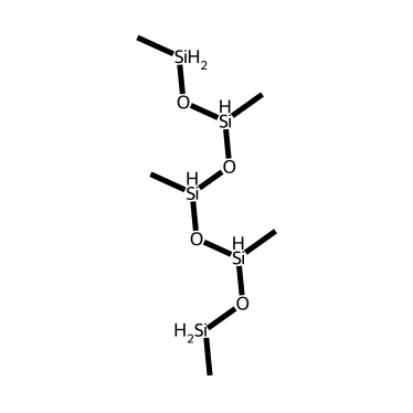 C[SiH2]O[SiH](C)O[SiH](C)O[SiH](C)O[SiH2]C